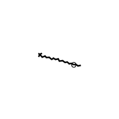 CCCOCCCCCCCCCCCCCCC(C)(C)C